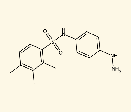 Cc1ccc(S(=O)(=O)Nc2ccc(NN)cc2)c(C)c1C